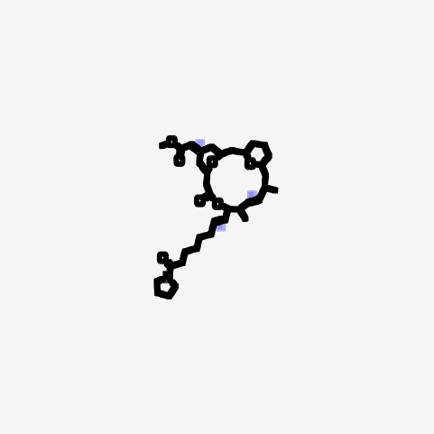 COC(=O)/C=C1\CC2CC(=O)OC(/C=C/CCCCCC(=O)N3CCCC3)C(C)/C=C/C(C)CC3CCCC(CC(C1)O2)O3